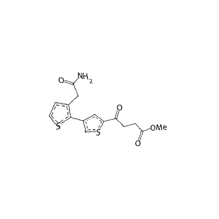 COC(=O)CCC(=O)c1cc(-c2sccc2CC(N)=O)cs1